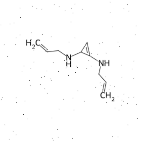 C=CCNC1=CC1NCC=C